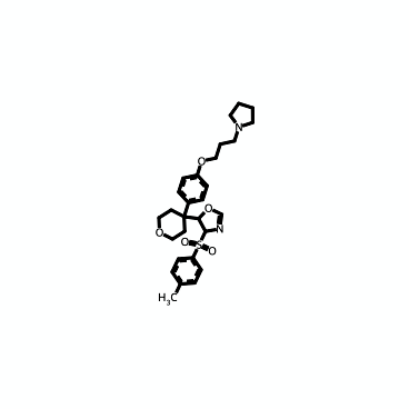 Cc1ccc(S(=O)(=O)C2N=COC2C2(c3ccc(OCCCN4CCCC4)cc3)CCOCC2)cc1